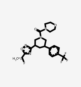 C[C@@H](F)c1nc(C2CC(c3ccc(C(F)(F)F)cc3)CN(C(=O)N3CCOCC3)C2)no1